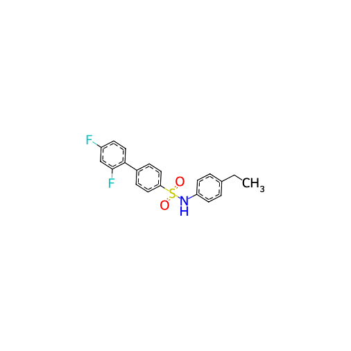 CCc1ccc(NS(=O)(=O)c2ccc(-c3ccc(F)cc3F)cc2)cc1